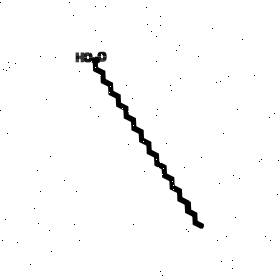 CCCC=CCCCCCCCCCCCCCCCCCCCCCCCC(=O)O